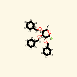 C[C@H]1O[C@H](F)[C@H](OCc2ccccc2)[C@@H](OCc2ccccc2)[C@@H]1OCc1ccccc1